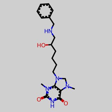 CN1CN(CCCCC(O)CNCc2ccccc2)c2c1c(=O)[nH]c(=O)n2C